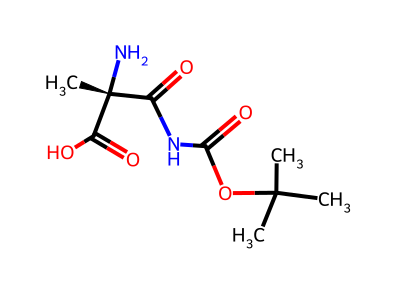 CC(C)(C)OC(=O)NC(=O)[C@@](C)(N)C(=O)O